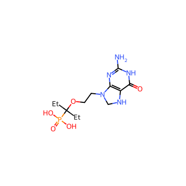 CCC(CC)(OCCN1CNc2c1nc(N)[nH]c2=O)P(=O)(O)O